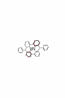 C1=CC(C(c2ccccc2)c2ccccc2)C2B3c4ccccc4-c4cccc(C(c5ccccc5)c5ccccc5)c4N3c3ccccc3C2=C1